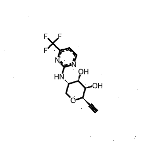 C#C[C@H]1OC[C@H](Nc2nccc(C(F)(F)F)n2)[C@@H](O)[C@H]1O